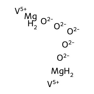 [MgH2].[MgH2].[O-2].[O-2].[O-2].[O-2].[O-2].[V+5].[V+5]